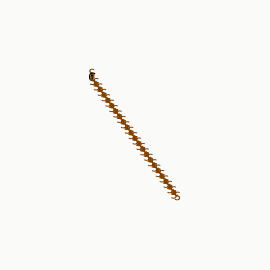 S=C=S=S=S=S=S=S=S=S=S=S=S=S=S=S=S=S=S=S=S=S=S=S=S=S=S=S=S=S=S=S=S=S=S=S=S=S=S=S=S=S=S=S=S=S